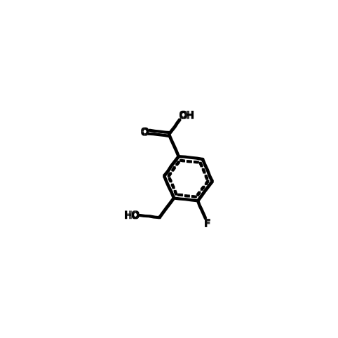 O=C(O)c1ccc(F)c(CO)c1